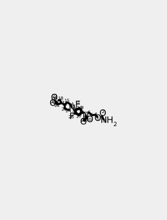 NC(=O)OCC1CN(c2cc(F)c(N3CCC(C4CS(=O)(=O)C4)CC3)c(F)c2)C(=O)O1